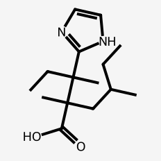 CCC(C)CC(C)(C(=O)O)C(C)(CC)c1ncc[nH]1